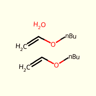 C=COCCCC.C=COCCCC.O